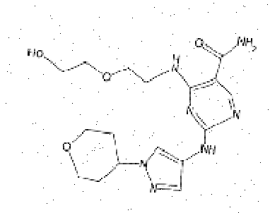 NC(=O)c1cnc(Nc2cnn(C3CCOCC3)c2)nc1NCCOCCO